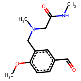 CNC(=O)CN(C)Cc1cc(C=O)ccc1OC